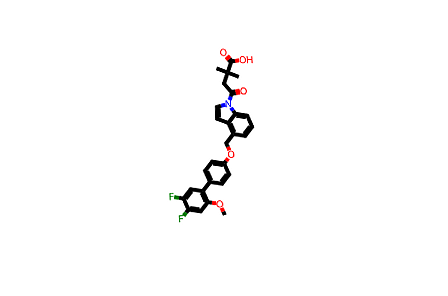 COc1cc(F)c(F)cc1-c1ccc(OCc2cccc3c2ccn3C(=O)CC(C)(C)C(=O)O)cc1